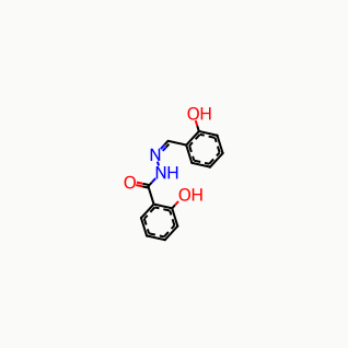 O=C(N/N=C\c1ccccc1O)c1ccccc1O